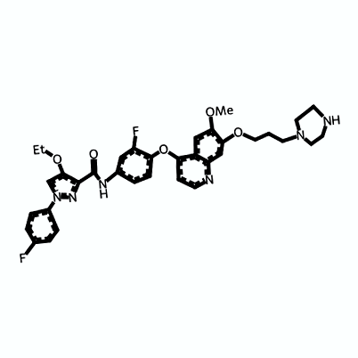 CCOc1cn(-c2ccc(F)cc2)nc1C(=O)Nc1ccc(Oc2ccnc3cc(OCCCN4CCNCC4)c(OC)cc23)c(F)c1